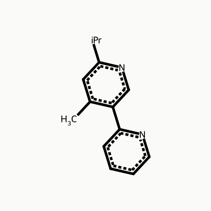 Cc1cc(C(C)C)ncc1-c1ccccn1